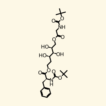 CC(C)(C)OC(=O)NCC(=O)OC[C@H](O)[C@@H](O)[C@H](O)CCOC(=O)[C@H](Cc1ccccc1)NC(=O)OC(C)(C)C